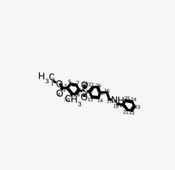 CCOC(=O)c1ccc(S(=O)(=O)c2ccc(CCNCc3ccccc3)cc2)cc1C